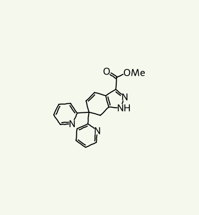 COC(=O)c1n[nH]c2c1C=CC(c1ccccn1)(c1ccccn1)C2